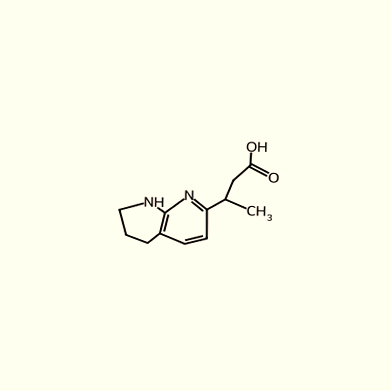 CC(CC(=O)O)c1ccc2c(n1)NCCC2